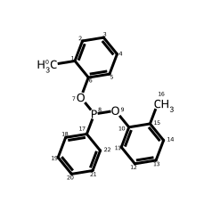 Cc1ccccc1OP(Oc1ccccc1C)c1ccccc1